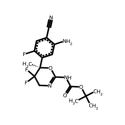 CC(C)(C)OC(=O)NC1=NCC(F)(F)[C@@](C)(c2cc(N)c(C#N)cc2F)O1